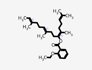 C/C=C(\C)CC/C=C(\C)CC/C(OC(=O)c1ccccc1OCC)=C(/C)CCC=C(C)C